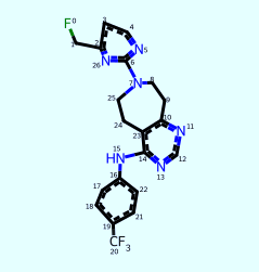 FCc1ccnc(N2CCc3ncnc(Nc4ccc(C(F)(F)F)cc4)c3CC2)n1